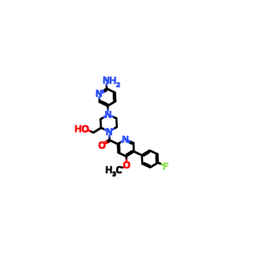 COc1cc(C(=O)N2CCN(c3ccc(N)nc3)CC2CO)ncc1-c1ccc(F)cc1